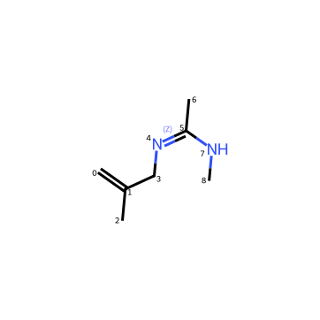 C=C(C)C/N=C(/C)NC